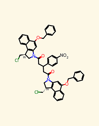 O=C(CC(CC(=O)N1C[C@@H](CCl)c2c1cc(OCc1ccccc1)c1ccccc21)c1ccc([N+](=O)[O-])cc1)N1C[C@@H](CCl)c2c1cc(OCc1ccccc1)c1ccccc21